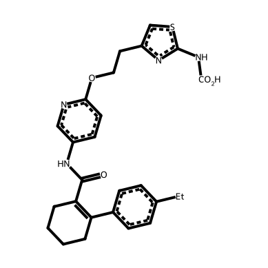 CCc1ccc(C2=C(C(=O)Nc3ccc(OCCc4csc(NC(=O)O)n4)nc3)CCCC2)cc1